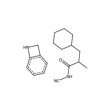 CC(CC1CCCCC1)C(=O)NC#N.c1ccc2c(c1)CN2